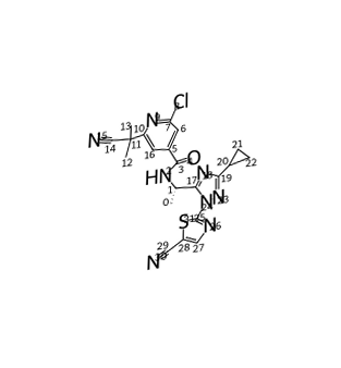 C[C@H](NC(=O)c1cc(Cl)nc(C(C)(C)C#N)c1)c1nc(C2CC2)nn1-c1ncc(C#N)s1